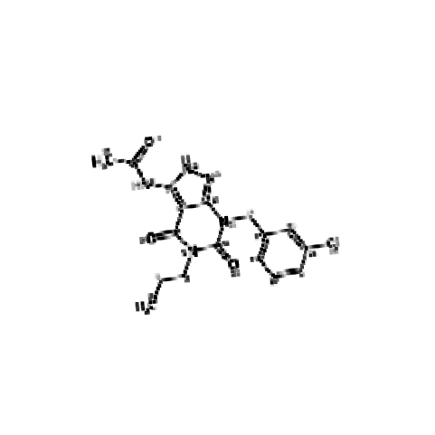 CCCn1c(=O)c2c(NC(C)=O)[nH]nc2n(Cc2cccc(Cl)c2)c1=O